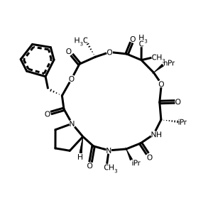 CCC[C@H]1OC(=O)[C@H](C(C)C)NC(=O)[C@@H](C(C)C)N(C)C(=O)[C@@H]2CCCN2C(=O)[C@H](Cc2ccccc2)OC(=O)[C@H](C)OC(=O)C1(C)C